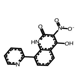 O=c1[nH]c2c(-c3ccccn3)cccc2c(O)c1[N+](=O)[O-]